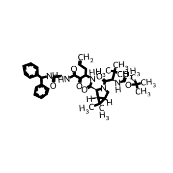 C=CCC(NC(=O)[C@@H]1[C@@H]2[C@H](CN1C(=O)[C@@H](NC(=O)OC(C)(C)C)C(C)(C)C)C2(C)C)C(=O)C(=O)NCC(=O)NC(c1ccccc1)c1ccccc1